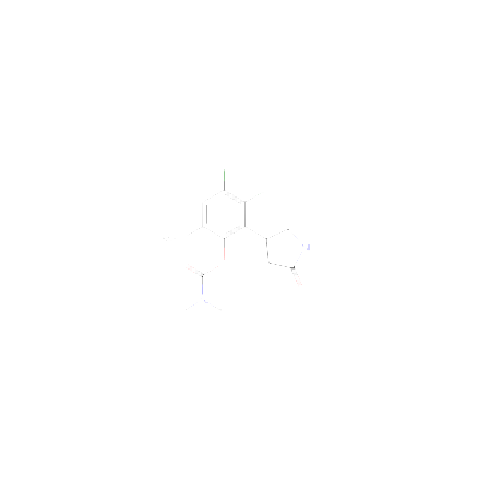 CCN(CC)C(=O)Oc1c(OC)cc(Cl)c(Cl)c1C1CNC(=O)C1